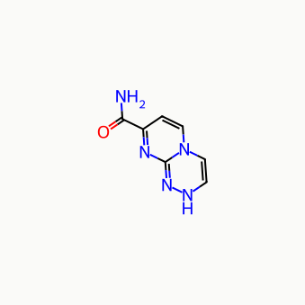 NC(=O)C1=NC2=NNC=CN2C=C1